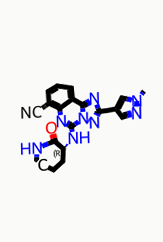 Cn1cc(-c2nc3c4cccc(C#N)c4nc(N[C@@H]4CCCCNC4=O)n3n2)cn1